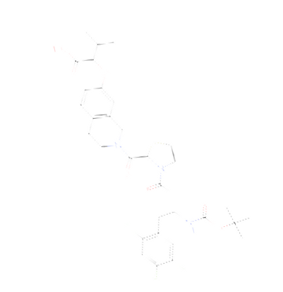 CC(C)C(Oc1ccc2c(c1)CN(C(=O)C1SCCN1C(=O)C[C@@H](Cc1cc(F)c(F)cc1F)NC(=O)OC(C)(C)C)CC2)C(=O)O